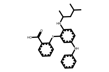 CC(C)CC(C)Nc1ccc(Nc2ccccc2)cc1Sc1ccccc1C(=O)O